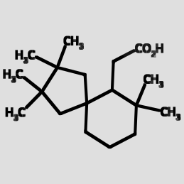 CC1(C)CCCC2(CC(C)(C)C(C)(C)C2)C1CC(=O)O